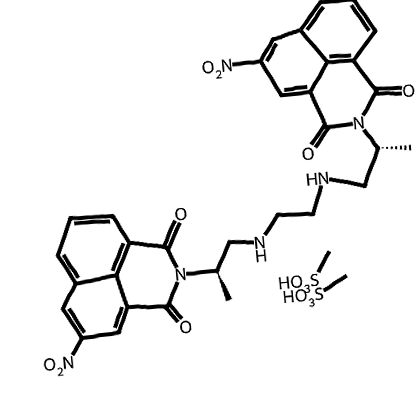 CS(=O)(=O)O.CS(=O)(=O)O.C[C@H](CNCCNC[C@@H](C)N1C(=O)c2cccc3cc([N+](=O)[O-])cc(c23)C1=O)N1C(=O)c2cccc3cc([N+](=O)[O-])cc(c23)C1=O